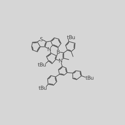 CC1=C(c2cc(C(C)(C)C)ccc2C)B2c3c(cc(C(C)(C)C)cc3-n3c4c2cccc4c2sc4ccccc4c23)N1c1cc(-c2ccc(C(C)(C)C)cc2)cc(-c2ccc(C(C)(C)C)cc2)c1